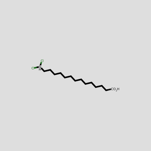 O=C(O)CCCCCCCCCCCCC[SiH](Cl)Cl